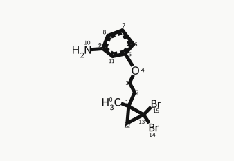 CC1(CCOc2cccc(N)c2)CC1(Br)Br